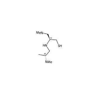 CNC[C@@H](CS)NC[C@@H](C)NC